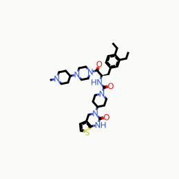 CCc1ccc(C[C@@H](NC(=O)N2CCC(N3Cc4ccsc4NC3=O)CC2)C(=O)N2CCN(C3CCN(C)CC3)CC2)cc1CC